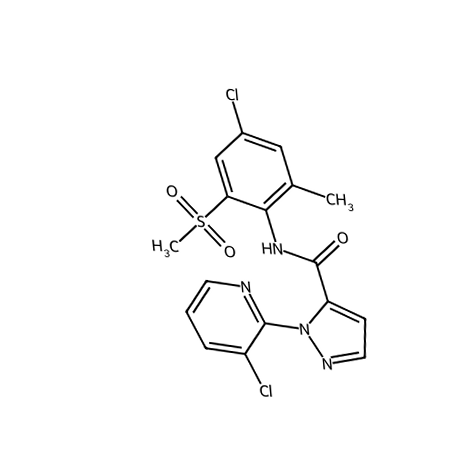 Cc1cc(Cl)cc(S(C)(=O)=O)c1NC(=O)c1ccnn1-c1ncccc1Cl